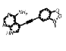 CN1OOc2ccc(C#Cc3c[nH]c4ncnc(N)c34)cc21